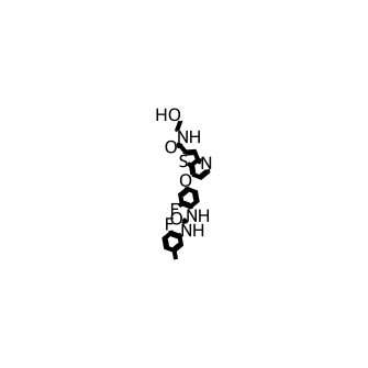 Cc1ccc(F)c(NC(=O)Nc2ccc(Oc3ccnc4cc(C(=O)NCCO)sc34)cc2F)c1